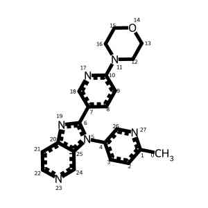 Cc1ccc(-n2c(-c3ccc(N4CCOCC4)nc3)nc3ccncc32)cn1